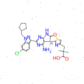 CC(C)(Cc1csc([C@]2(C)C(=O)Nc3nc(-c4nn(CC5CCCC5)c5cc(Cl)ccc45)nc(N)c32)n1)C(=O)O